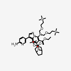 C=C(OCC)c1c(C2CC3CCC(C2)N3C(=O)OC(C)(C)C)nc2c(-c3ccc(N)nc3)cnn2c1N(COCC[Si](C)(C)C)COCC[Si](C)(C)C